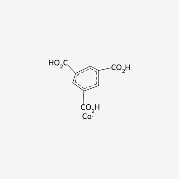 O=C(O)c1cc(C(=O)O)cc(C(=O)O)c1.[Co]